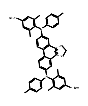 CCCCCCc1cc(C)c(N(c2ccc(C)cc2)c2ccc3c(c2)[C@]24CCC[C@]2(CCC4)c2cc(N(c4ccc(C)cc4)c4c(C)cc(CCCCCC)cc4C)ccc2-3)c(C)c1